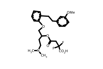 COc1cccc(CCc2ccccc2OCC(CCN(C)C)OC(=O)CC(F)(F)C(=O)O)c1